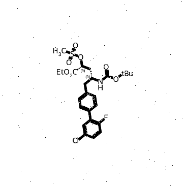 CCOC(=O)[C@@H](C[C@@H](Cc1ccc(-c2cc(Cl)ccc2F)cc1)NC(=O)OC(C)(C)C)OS(C)(=O)=O